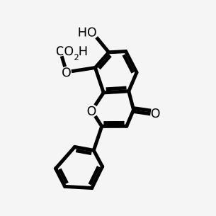 O=C(O)Oc1c(O)ccc2c(=O)cc(-c3ccccc3)oc12